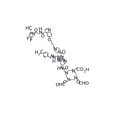 C#C[C@H]1CC(F)(F)CN1C(=O)CNC(=O)c1ccnc2ccc(OCCCCN3CCN(C(=O)CCN/N=C\C(C/C=N/NCN/N=C/c4ccc(C)cc4)NC(=O)CN4CCN(COC=O)CCN(COC=O)CCN(CC(=O)O)CC4)CC3)cc12